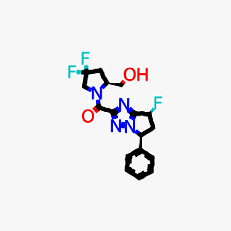 O=C(c1nc2n(n1)[C@H](c1ccccc1)C[C@@H]2F)N1CC(F)(F)C[C@H]1CO